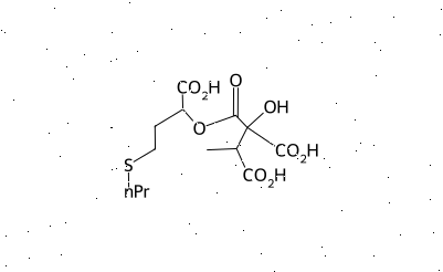 CCCSCCC(OC(=O)C(O)(C(=O)O)C(C)C(=O)O)C(=O)O